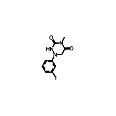 CN1C(=O)CN(c2cccc(I)c2)NC1=O